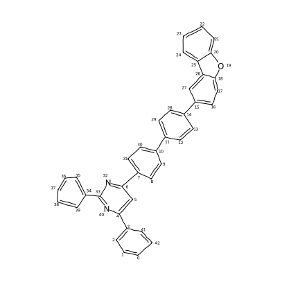 c1ccc(-c2cc(-c3ccc(-c4ccc(-c5ccc6oc7ccccc7c6c5)cc4)cc3)nc(-c3ccccc3)n2)cc1